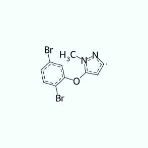 Cn1n[c]cc1Oc1cc(Br)ccc1Br